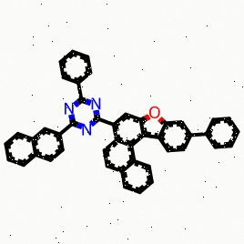 c1ccc(-c2ccc3c(c2)oc2cc(-c4nc(-c5ccccc5)nc(-c5ccc6ccccc6c5)n4)c4ccc5ccccc5c4c23)cc1